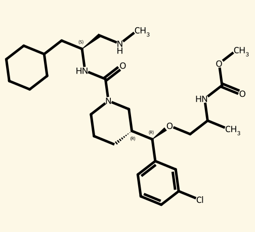 CNC[C@H](CC1CCCCC1)NC(=O)N1CCC[C@@H]([C@@H](OCC(C)NC(=O)OC)c2cccc(Cl)c2)C1